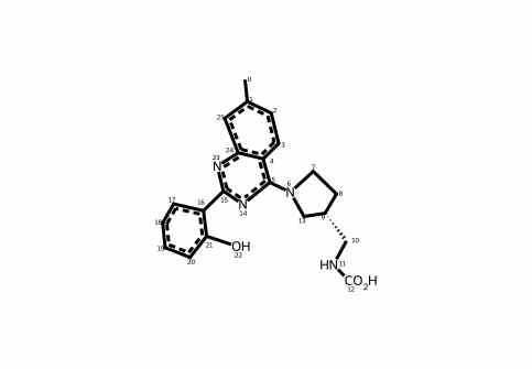 Cc1ccc2c(N3CC[C@H](CNC(=O)O)C3)nc(-c3ccccc3O)nc2c1